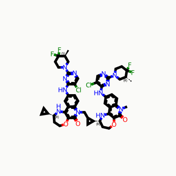 C[C@@H]1CN(c2ncc(Cl)c(Nc3ccc4c(c3)c3c(c(=O)n4C)OCC[C@H](C4CC4Cn4c(=O)c5c(c6cc(Nc7nc(N8CCC(F)(F)[C@@H](C)C8)ncc7Cl)ccc64)N[C@@H](C4CC4)CCO5)N3)n2)CCC1(F)F